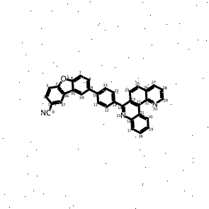 N#Cc1ccc2oc3ccc(-c4ccc(-c5nc6ccccc6c6c5ccc5cccnc56)cc4)cc3c2c1